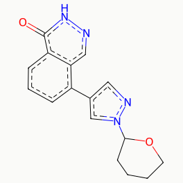 O=c1[nH]ncc2c(-c3cnn(C4CCCCO4)c3)cccc12